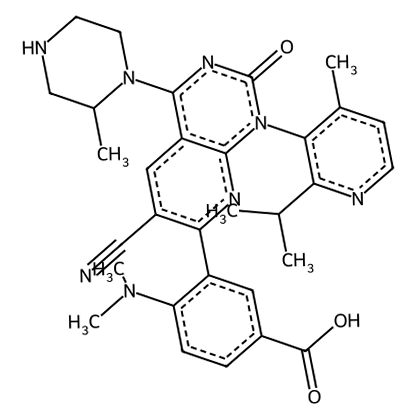 Cc1ccnc(C(C)C)c1-n1c(=O)nc(N2CCNCC2C)c2cc(C#N)c(-c3cc(C(=O)O)ccc3N(C)C)nc21